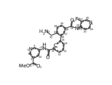 COC(=O)c1cncc(NC(=O)c2cccc(-c3cc(C(=O)Nc4ccncc4F)ccc3CN)c2)c1